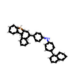 c1ccc2c(-c3ccc(Nc4ccc(-c5cc6sc7ccccc7c6c6ccccc56)cc4)cc3)cccc2c1